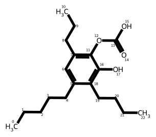 CCCCCc1cc(CCC)c(OC(=O)O)c(O)c1CCCC